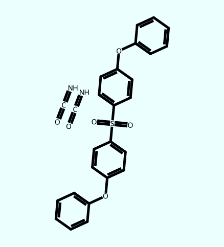 N=C=O.N=C=O.O=S(=O)(c1ccc(Oc2ccccc2)cc1)c1ccc(Oc2ccccc2)cc1